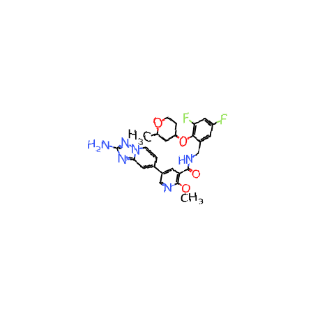 COc1ncc(-c2ccn3nc(N)nc3c2)cc1C(=O)NCc1cc(F)cc(F)c1OC1CCOC(C)C1